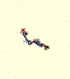 CC(C)(C)OC(=O)N1CC(CCCCNc2cccc(SNC(=O)c3ccc(-n4cc(OCCC5(C(F)(F)F)CC5)cn4)nc3Cl)n2)CC1(C)C